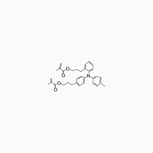 C=C(C)C(=O)OCCCc1ccc(N(c2ccc(C)cc2)c2ccccc2CCCOC(=O)C(=C)C)cc1